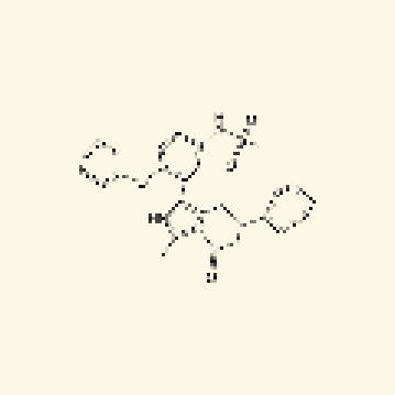 Cc1[nH]c(-c2cc(NS(C)(=O)=O)ccc2Oc2ccccc2)c2c1C(=O)CC(c1ccccc1)C2